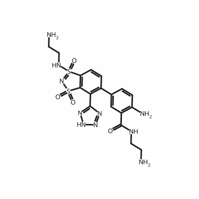 NCCNC(=O)c1cc(-c2ccc3c(c2-c2nn[nH]n2)S(=O)(=O)N=S3(=O)NCCN)ccc1N